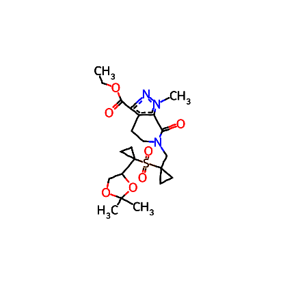 CCOC(=O)c1nn(C)c2c1CCN(CC1(S(=O)(=O)C3(C4COC(C)(C)O4)CC3)CC1)C2=O